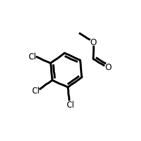 COC=O.Clc1cccc(Cl)c1Cl